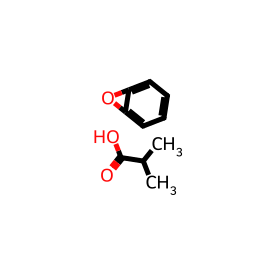 CC(C)C(=O)O.c1ccc2c(c1)O2